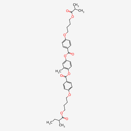 CCC(C)C(=O)OCCCCOc1ccc(C(=O)Oc2ccc(OC(=O)c3ccc(OCCCCOC(=O)C(C)C)cc3)cc2C)cc1